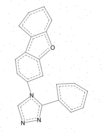 c1ccc(-c2nncn2-c2ccc3c(c2)oc2ccccc23)cc1